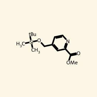 COC(=O)c1cc(CO[Si](C)(C)C(C)(C)C)ccn1